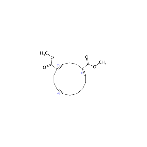 COC(=O)/C1=C/CC/C(C(=O)OC)=C\CCCC/C=C\CC1